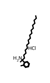 CCCCCCCCCCCCCCCCCCC(C)(N)c1ccccc1C.Cl